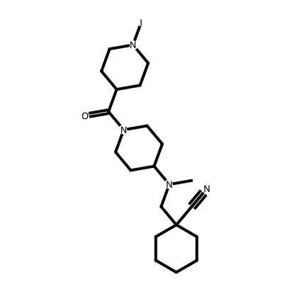 CN(CC1(C#N)CCCCC1)C1CCN(C(=O)C2CCN(I)CC2)CC1